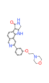 O=C1NCc2[nH]c3c(ccc4cnc(-c5cccc(OCCN6CCOCC6)c5)cc43)c21